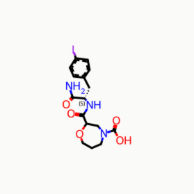 NC(=O)[C@H](Cc1ccc(I)cc1)NC(=O)C1CN(C(=O)O)CCCO1